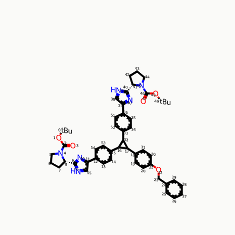 CC(C)(C)OC(=O)N1CCC[C@H]1c1nc(-c2ccc(C3C(c4ccc(OCc5ccccc5)cc4)C3c3ccc(-c4c[nH]c([C@@H]5CCCN5C(=O)OC(C)(C)C)n4)cc3)cc2)c[nH]1